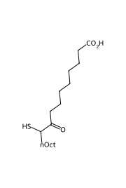 CCCCCCCCC(S)C(=O)CCCCCCCC(=O)O